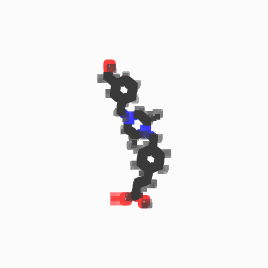 C[C@@H]1CN(Cc2cccc(C=O)c2)C[C@H](C)N1Cc1ccc(C=CC(=O)O)cc1